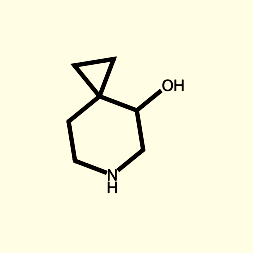 OC1CNCCC12CC2